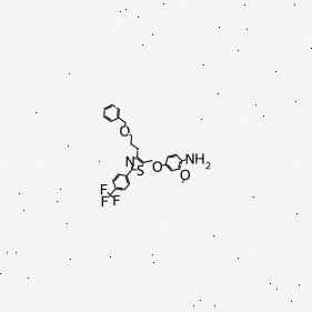 COc1cc(OCc2sc(-c3ccc(C(F)(F)F)cc3)nc2CCCOCc2ccccc2)ccc1N